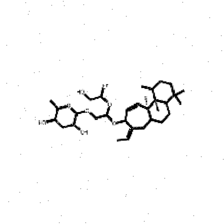 C/C=C1/CC2CCC3C(C)(C)CCC(C)[C@@]3(C)[C@]2(C)C=CC1OC(COC1OC(C)C(O)CC1O)OC(CC)CO